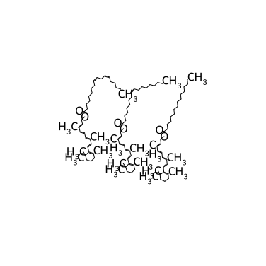 CCCCC/C=C\C/C=C\CCCCCCCC(=O)OCC=C(C)C=CC=C(C)C=CC1=C(C)CCCC1(C)C.CCCCCCCC/C=C\CCCCCCCC(=O)OCC=C(C)C=CC=C(C)C=CC1=C(C)CCCC1(C)C.CCCCCCCCCCCCCCCC(=O)OCC=C(C)C=CC=C(C)C=CC1=C(C)CCCC1(C)C